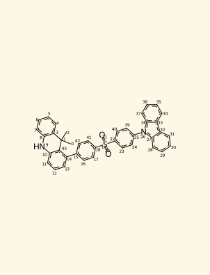 CC1(C)c2ccccc2Nc2cccc(-c3ccc(S(=O)(=O)c4ccc(-n5c6ccccc6c6ccccc65)cc4)cc3)c21